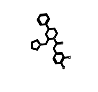 O=C(Cc1ccc(Cl)c(Cl)c1)N1CCC(c2ccccc2)CC1CN1CCCC1